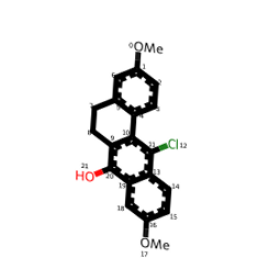 COc1ccc2c(c1)CCc1c-2c(Cl)c2ccc(OC)cc2c1O